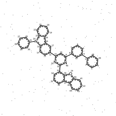 c1ccc(-c2cccc(-c3cc(-c4ccc5c(c4)c4ccccc4n5-c4ccccc4)nc(-c4cccc5c4oc4ccccc45)n3)c2)cc1